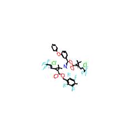 CC1(C)[C@H](C(=O)OC(C#N)c2cccc(Oc3ccccc3)c2)[C@@H]1/C=C(\Cl)C(F)(F)F.Cc1c(F)c(F)c(COC(=O)C2C(/C=C(\Cl)C(F)(F)F)C2(C)C)c(F)c1F